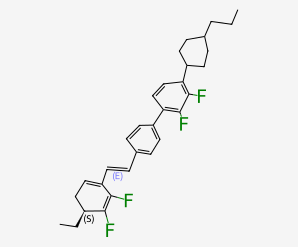 CCCC1CCC(c2ccc(-c3ccc(/C=C/C4=CC[C@H](CC)C(F)=C4F)cc3)c(F)c2F)CC1